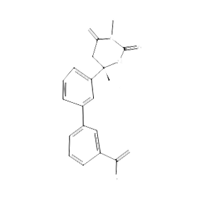 CN1C(=N)N[C@](C)(c2cccc(-c3cccc(C(N)=O)c3)c2)CC1=O